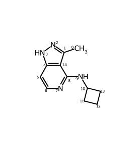 Cc1n[nH]c2ccnc(NC3CCC3)c12